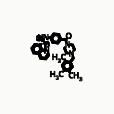 Cc1cc(C)c(CN2CCN(C(=O)c3ccc(NS(=O)(=O)c4cccc5cccnc45)cc3)CC2)cc1C